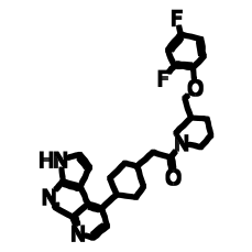 O=C(CC1CCC(c2ccnc3cnc4[nH]ccc4c23)CC1)N1CCCC(COc2ccc(F)cc2F)C1